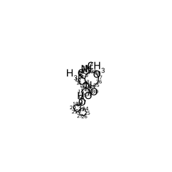 Cc1nn(C)c2c1-c1c(F)ccc3c(CCCOc4cccc5c4CCCC5)c(C(=O)O)n(c13)CCCCOC2